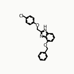 Clc1ccc(OCc2nc3c(OCc4ccccc4)cccc3[nH]2)cc1